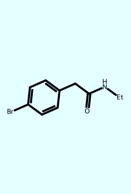 CCNC(=O)Cc1ccc(Br)cc1